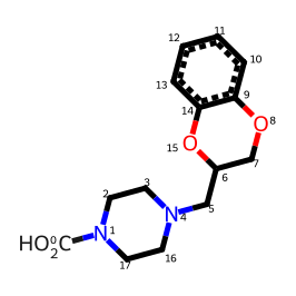 O=C(O)N1CCN(CC2COc3ccccc3O2)CC1